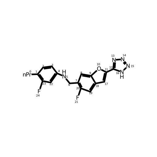 CCCc1ccc(NCc2cc3oc(-c4nnn[nH]4)cc3cc2F)cc1F